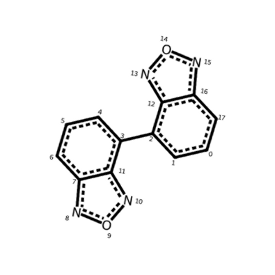 c1cc(-c2cccc3nonc23)c2nonc2c1